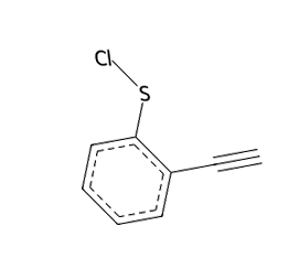 C#Cc1ccccc1SCl